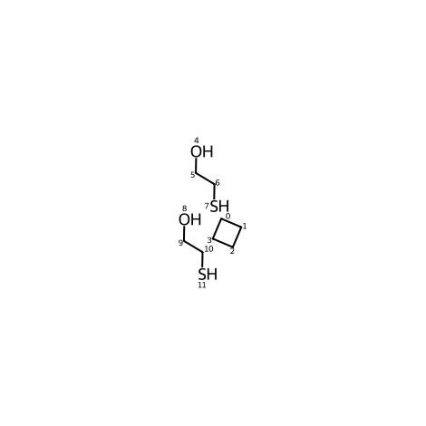 C1CCC1.OCCS.OCCS